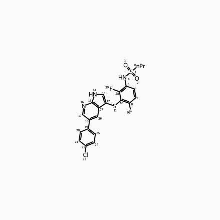 CCCS(=O)(=O)Nc1ccc(F)c(Sc2c[nH]c3ncc(-c4ccc(Cl)cc4)cc23)c1F